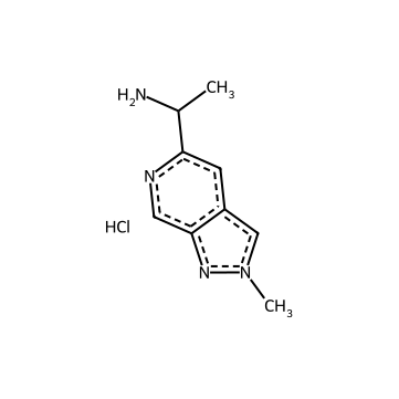 CC(N)c1cc2cn(C)nc2cn1.Cl